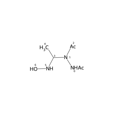 CC(=O)NN(C(C)=O)C(C)NO